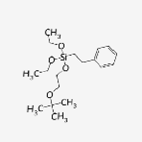 CCO[Si](CCc1ccccc1)(OCC)OCCOC(C)(C)C